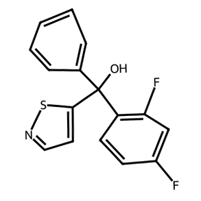 OC(c1ccccc1)(c1ccns1)c1ccc(F)cc1F